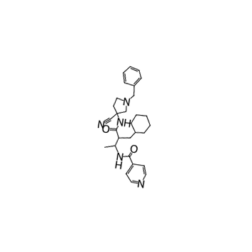 CC(NC(=O)c1ccncc1)C(CC1CCCCC1)C(=O)NC1(C#N)CCN(Cc2ccccc2)C1